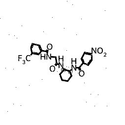 O=C(CNC(=O)c1cccc(C(F)(F)F)c1)N[C@@H]1CCCC[C@@H]1NC(=O)c1ccc([N+](=O)[O-])cc1